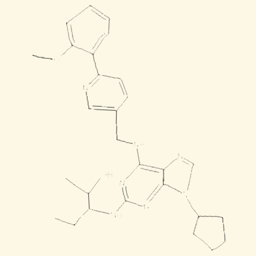 CCC(Nc1nc(NCc2ccc(-c3ccccc3OC)nc2)c2ncn(C3CCCC3)c2n1)C(C)O